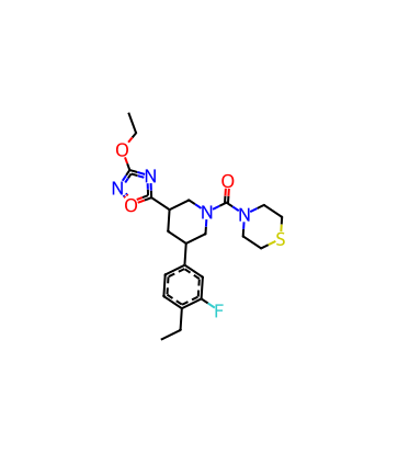 CCOc1noc(C2CC(c3ccc(CC)c(F)c3)CN(C(=O)N3CCSCC3)C2)n1